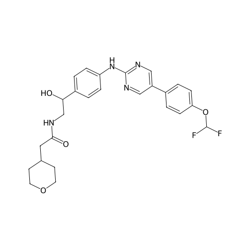 O=C(CC1CCOCC1)NCC(O)c1ccc(Nc2ncc(-c3ccc(OC(F)F)cc3)cn2)cc1